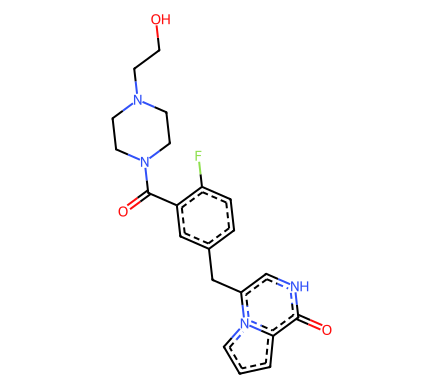 O=C(c1cc(Cc2c[nH]c(=O)c3cccn23)ccc1F)N1CCN(CCO)CC1